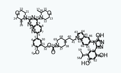 COc1ccc(-c2ccc3c(N4CCOCC4C)nc(N4CCOCC4C)nc3n2)cc1COC(=O)N1CCC(CCn2ccc3cc(-n4c(O)nnc4-c4cc(C(C)C)c(O)cc4O)ccc32)CC1